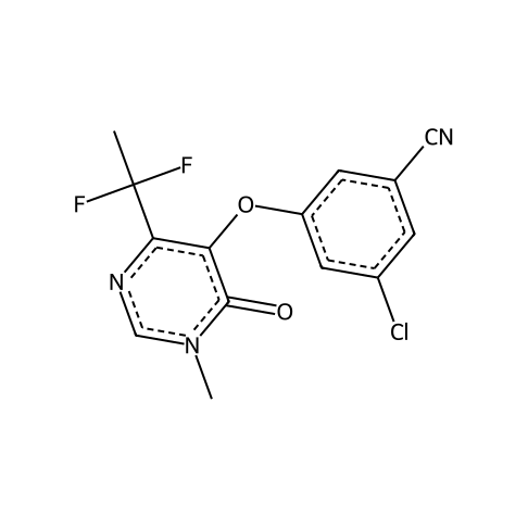 Cn1cnc(C(C)(F)F)c(Oc2cc(Cl)cc(C#N)c2)c1=O